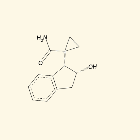 NC(=O)C1([C@H]2c3ccccc3C[C@H]2O)CC1